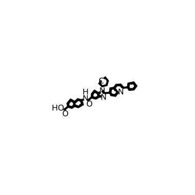 O=C(O)c1ccc2cc(NC(=O)c3ccc4c(c3)nc(-c3ccc5nc(-c6ccccc6)ccc5c3)n4C3CCCCC3)ccc2c1